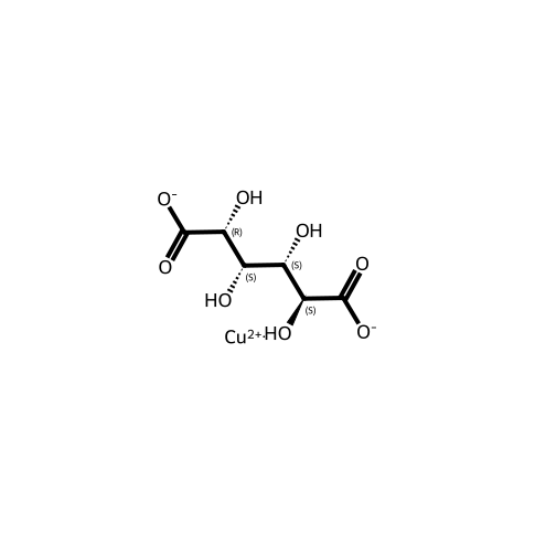 O=C([O-])[C@@H](O)[C@@H](O)[C@H](O)[C@@H](O)C(=O)[O-].[Cu+2]